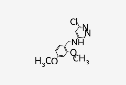 COc1ccc(CNc2cnnc(Cl)c2)c(OC)c1